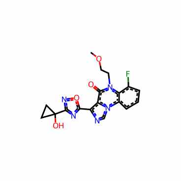 COCCn1c(=O)c2c(-c3nc(C4(O)CC4)no3)ncn2c2cccc(F)c21